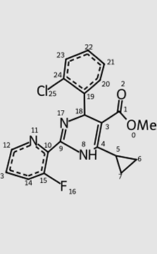 COC(=O)C1=C(C2CC2)NC(c2ncccc2F)=NC1c1ccccc1Cl